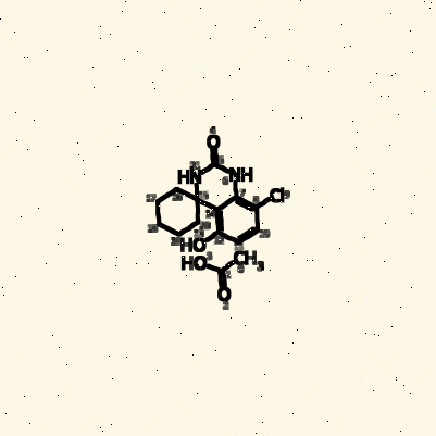 CC(=O)O.O=C1Nc2c(Cl)ccc(O)c2C2(CCCCC2)N1